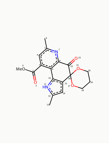 COC(=O)c1cc(C)nc2c1-c1[nH]c(C)cc1C1(OCCCO1)C2=O